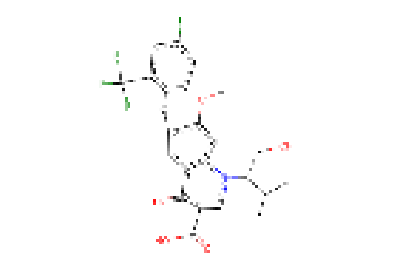 COc1cc2c(cc1Cc1ccc(F)cc1C(F)(F)F)c(=O)c(C(=O)O)cn2[C@H](CO)C(C)C